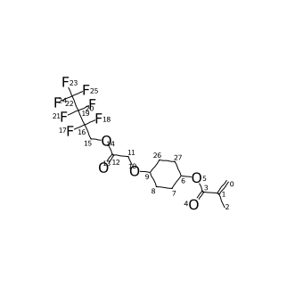 C=C(C)C(=O)OC1CCC(OCC(=O)OCC(F)(F)C(F)(F)C(F)(F)F)CC1